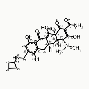 CN(C)[C@@H]1C(O)=C(C(N)=O)C(=O)[C@@]2(O)C(O)=C3C(=O)c4c(O)cc(CNC5CCC5)c(Cl)c4C[C@H]3C[C@@H]12